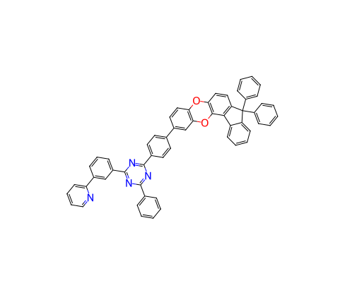 c1ccc(-c2nc(-c3ccc(-c4ccc5c(c4)Oc4c(ccc6c4-c4ccccc4C6(c4ccccc4)c4ccccc4)O5)cc3)nc(-c3cccc(-c4ccccn4)c3)n2)cc1